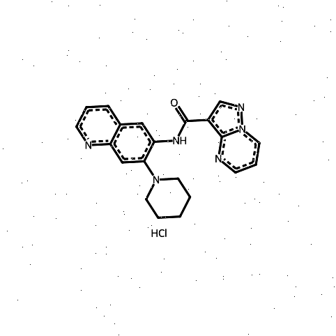 Cl.O=C(Nc1cc2cccnc2cc1N1CCCCC1)c1cnn2cccnc12